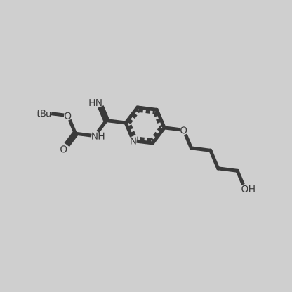 CC(C)(C)OC(=O)NC(=N)c1ccc(OCCCCO)cn1